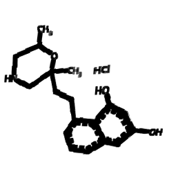 CC1CNCC(C)(CCc2cccc3cc(O)cc(O)c23)O1.Cl